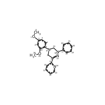 COc1ccc(N2CC(c3ccccn3)=NN(c3ccccc3)C2)c(OC)c1